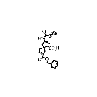 CC(C)(C)OC(=O)NC(=O)CC1(CC(=O)O)CCN(C(=O)OCc2ccccc2)C1